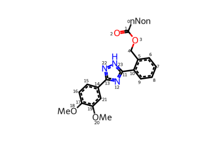 CCCCCCCCCC(=O)OCc1ccccc1-c1nc(-c2ccc(OC)c(OC)c2)n[nH]1